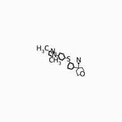 Cc1cc(C)n(-c2ccc(Sc3cccc(C4(C#N)CCOCC4)c3)cc2)n1